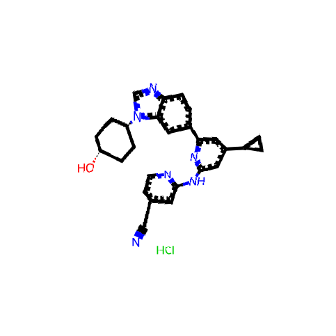 Cl.N#Cc1ccnc(Nc2cc(C3CC3)cc(-c3ccc4ncn([C@H]5CC[C@@H](O)CC5)c4c3)n2)c1